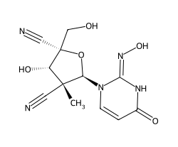 C[C@]1(C#N)[C@H](n2ccc(=O)[nH]/c2=N\O)O[C@](C#N)(CO)[C@H]1O